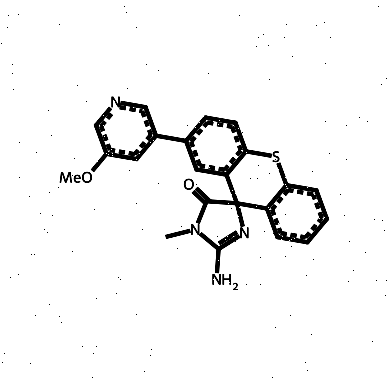 COc1cncc(-c2ccc3c(c2)C2(N=C(N)N(C)C2=O)c2ccccc2S3)c1